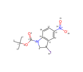 CC(C)(C)OC(=O)N1CC(I)c2cc([N+](=O)[O-])ccc21